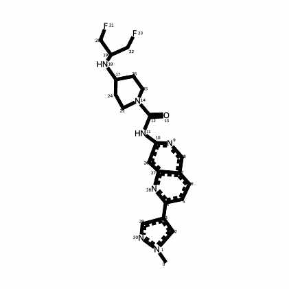 Cn1cc(-c2ccc3cnc(NC(=O)N4CCC(NC(CF)CF)CC4)cc3n2)cn1